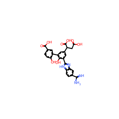 N=C(N)c1ccc2[nH]c(-c3cc(C(CC(=O)O)C(=O)O)cc(-c4cc(C(=O)O)ccc4O)c3O)nc2c1